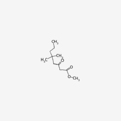 CCCC(C)(C)CC(=O)CC(=O)OC